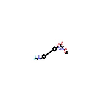 COC(=O)[C@@H](NC(=O)c1ccc(C#CC#Cc2ccc(CNCC(F)F)cc2)cc1)[C@@H](C)NC(=O)OC(C)(C)C